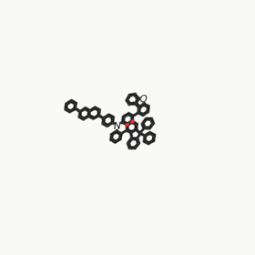 c1ccc(-c2ccc3cc(-c4ccc(N(c5ccc(-c6cccc7oc8ccccc8c67)cc5)c5ccccc5-c5cccc6c5-c5ccccc5C6(c5ccccc5)c5ccccc5)cc4)ccc3c2)cc1